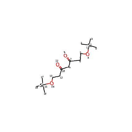 C[Si](C)(C)OCCC(=O)CC(=O)CCO[Si](C)(C)C